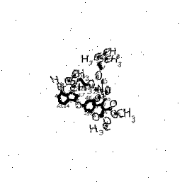 COC(=O)C(C(=O)OC)C(CS(=O)(=O)N(COCC[Si](C)(C)C)COCC[Si](C)(C)C)c1ccc(O[C@@H]2CCc3c(Br)cccc32)cc1